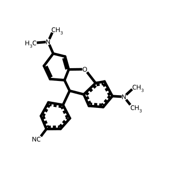 CN(C)c1ccc2c(c1)OC1=CC(N(C)C)C=CC1C2c1ccc(C#N)cc1